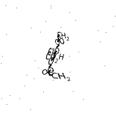 C=CC(=O)OCCOCCOCCOC(=O)C=C.O=C(O)Cl